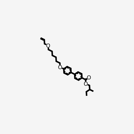 C=CCOCCCCCCOc1ccc(-c2ccc(C(=O)OCC(C)CC)cc2)cc1